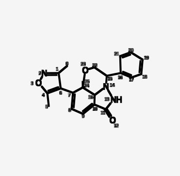 Cc1noc(C)c1C1=CC=C2C(=O)NN3C(c4ccccc4)COC1(C)C23